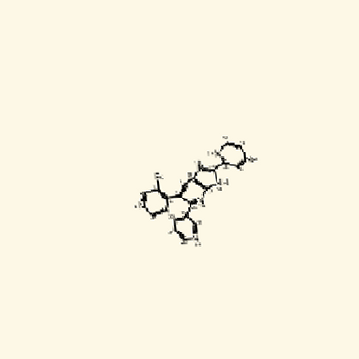 Fc1cnccc1-c1cc2nc(-c3cnccn3)[nH]c2nc1-c1cccnc1